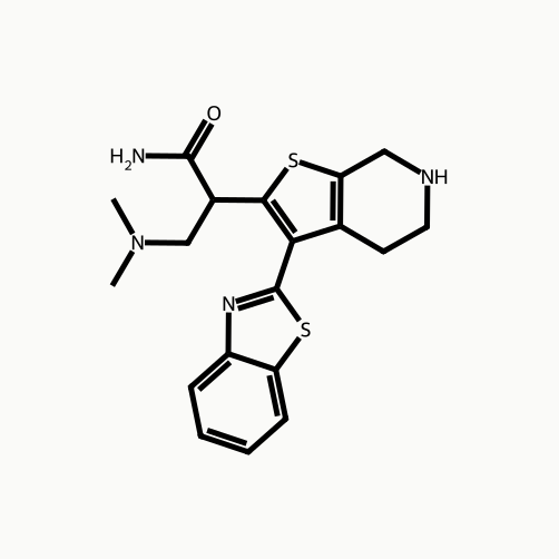 CN(C)CC(C(N)=O)c1sc2c(c1-c1nc3ccccc3s1)CCNC2